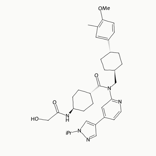 COc1ccc([C@H]2CC[C@H](CN(c3cc(-c4cnn(C(C)C)c4)ccn3)C(=O)[C@H]3CC[C@H](NC(=O)CO)CC3)CC2)cc1C